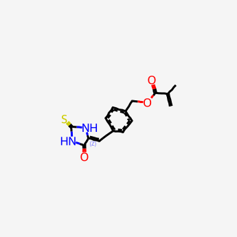 C=C(C)C(=O)OCc1ccc(/C=C2\NC(=S)NC2=O)cc1